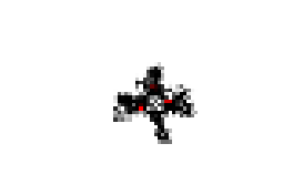 Oc1c2cc(/N=C/c3ccccc3)cc1Cc1cc(/N=C/c3ccccc3)cc(c1OCCCCBr)Cc1cc(NCc3ccccc3)cc(c1O)Cc1cc(/N=C/c3ccccc3)cc(c1OCCCCBr)C2